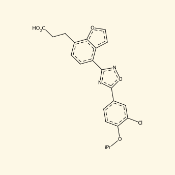 CC(C)Oc1ccc(-c2nc(-c3ccc(CCC(=O)O)c4occc34)no2)cc1Cl